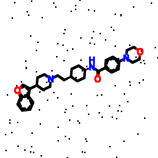 O=C(N[C@H]1CC[C@H](CCN2CCC(c3coc4ccccc34)CC2)CC1)c1ccc(N2CCOCC2)cc1